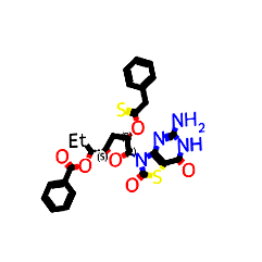 CCC(OC(=O)c1ccccc1)[C@@H]1C[C@@H](OC(=S)Cc2ccccc2)[C@H](n2c(=O)sc3c(=O)[nH]c(N)nc32)O1